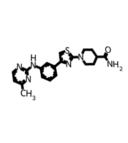 Cc1ccnc(Nc2cccc(-c3csc(N4CCC(C(N)=O)CC4)n3)c2)n1